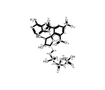 Nc1ncnc2c1ncn2[C@]1(c2c([N+](=O)[O-])cc([N+](=O)[O-])cc2[N+](=O)[O-])O[C@H](COP(=O)(O)OP(=O)(O)OP(=O)(O)O)[C@@H](O)[C@H]1O